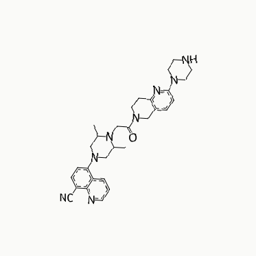 CC1CN(c2ccc(C#N)c3ncccc23)CC(C)N1CC(=O)N1CCc2nc(N3CCNCC3)ccc2C1